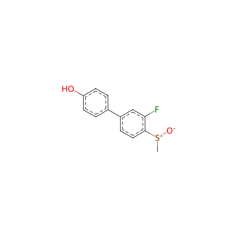 C[S+]([O-])c1ccc(-c2ccc(O)cc2)cc1F